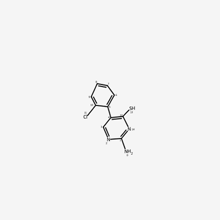 Nc1ncc(-c2ccccc2Cl)c(S)n1